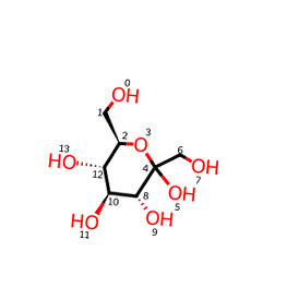 OC[C@H]1OC(O)(CO)[C@H](O)[C@@H](O)[C@@H]1O